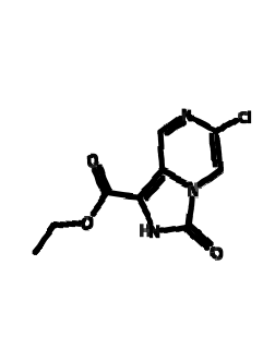 CCOC(=O)c1[nH]c(=O)n2cc(Cl)ncc12